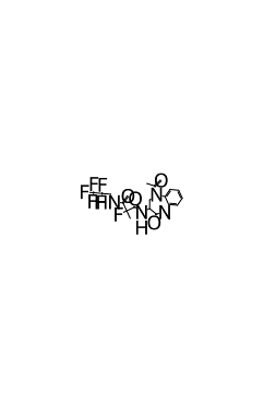 CC(=O)N1C[C@H](NC(=O)C(C)(F)C(=O)NCC(F)(F)C(F)(F)F)C(=O)N(C)c2ccccc21